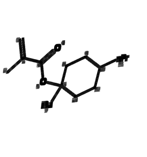 C=C(C)C(=O)OC1(C(C)CC)CCC(CCC)CC1